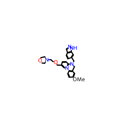 COc1cccc(CN(Cc2ccc3cn[nH]c3c2)c2ccc(COCCN3CCOCC3)cn2)c1